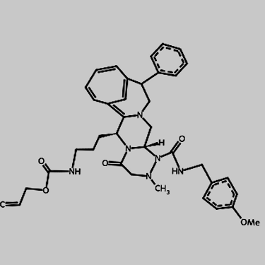 C=CCOC(=O)NCCC[C@H]1C2=C3C=CC=CC(=C3)C(c3ccccc3)CN2C[C@H]2N1C(=O)CN(C)N2C(=O)NCc1ccc(OC)cc1